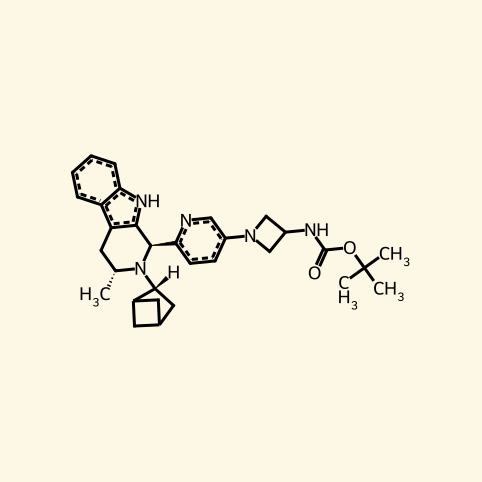 C[C@@H]1Cc2c([nH]c3ccccc23)[C@@H](c2ccc(N3CC(NC(=O)OC(C)(C)C)C3)cn2)N1[C@@H]1CC2CC1C2